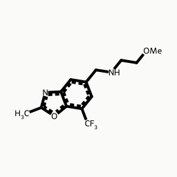 COCCNCc1cc(C(F)(F)F)c2oc(C)nc2c1